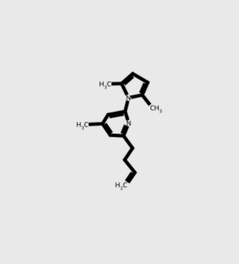 C=CCCc1cc(C)cc(-n2c(C)ccc2C)n1